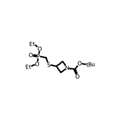 CCOP(=O)(CSC1CN(C(=O)OC(C)(C)C)C1)OCC